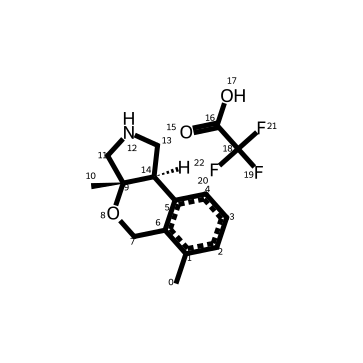 Cc1cccc2c1CO[C@]1(C)CNC[C@@H]21.O=C(O)C(F)(F)F